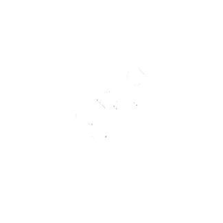 NC(c1ccccc1)c1ccnc(C2O[C@H](CO)[C@@H](O)[C@H]2O)n1